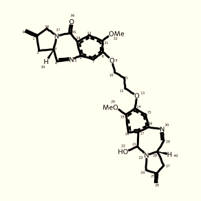 C=C1C[C@H]2C=Nc3cc(OCCCOc4cc5c(cc4OC)C(O)N4CC(=C)C[C@H]4C=N5)c(OC)cc3C(=O)N2C1